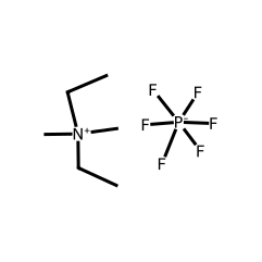 CC[N+](C)(C)CC.F[P-](F)(F)(F)(F)F